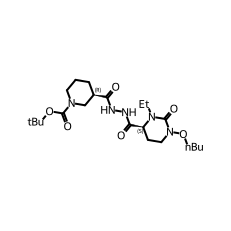 CCCCON1CC[C@@H](C(=O)NNC(=O)[C@@H]2CCCN(C(=O)OC(C)(C)C)C2)N(CC)C1=O